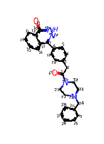 O=C(Cc1ccc(-c2n[nH]c(=O)c3ccccc23)cc1)N1CCN(Cc2ccccc2)CC1